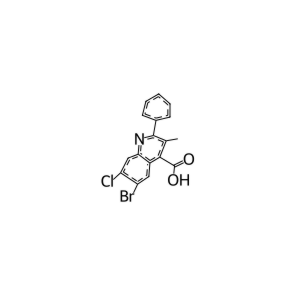 Cc1c(-c2ccccc2)nc2cc(Cl)c(Br)cc2c1C(=O)O